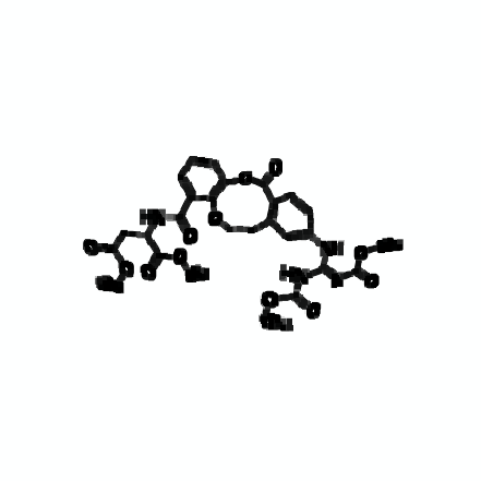 CC(C)(C)OC(=O)CC(NC(=O)c1cccc2c1OCCc1cc(NC(=NC(=O)OC(C)(C)C)NC(=O)OC(C)(C)C)ccc1C(=O)O2)C(=O)OC(C)(C)C